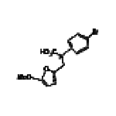 COc1ccc(CN(C(=O)O)c2ccc(Br)cc2)o1